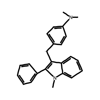 CN(C)c1ccc([CH]c2c(-c3ccccc3)n(C)c3ccccc23)cc1